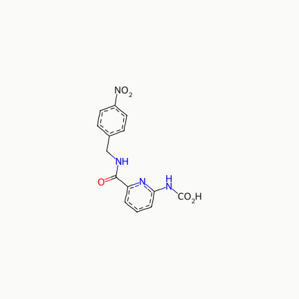 O=C(O)Nc1cccc(C(=O)NCc2ccc([N+](=O)[O-])cc2)n1